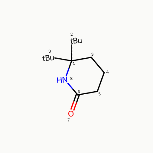 CC(C)(C)C1(C(C)(C)C)CCCC(=O)N1